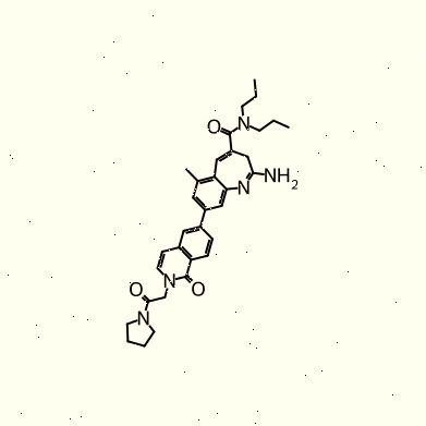 CCCN(CCC)C(=O)C1=Cc2c(C)cc(-c3ccc4c(=O)n(CC(=O)N5CCCC5)ccc4c3)cc2N=C(N)C1